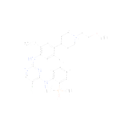 CCCOCCN1CCC(c2cc(OC)c(Nc3ncc(Cl)c(Nc4ccccc4P(C)(C)=O)n3)cc2C)CC1